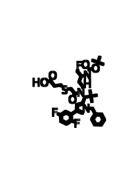 CC(C)(C)OC(=O)NC(CF)CCN(C(=O)CSCCC(=O)O)C(c1cc(-c2cc(F)ccc2F)cn1Cc1ccccc1)C(C)(C)C